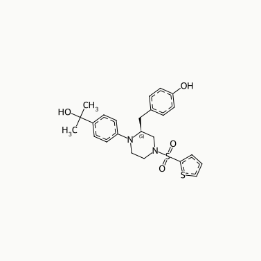 CC(C)(O)c1ccc(N2CCN(S(=O)(=O)c3cccs3)C[C@@H]2Cc2ccc(O)cc2)cc1